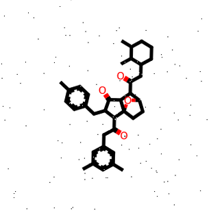 Cc1ccc(CC2C(=O)C3C(C(=O)CC4CCCC(C)C4C)C4CCC3(O4)C2C(=O)Cc2cc(C)cc(C)c2)cc1